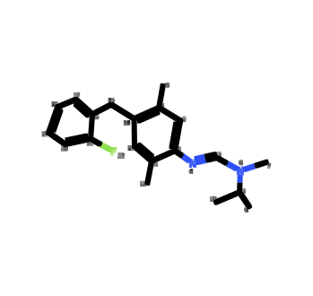 Cc1cc(N=CN(C)C(C)C)c(C)cc1Cc1ccccc1F